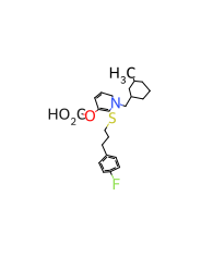 CC1CCCC(CN2CC=CC(OC(=O)O)=C2SCCCc2ccc(F)cc2)C1